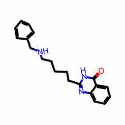 O=c1[nH]c(CCCCCNCc2ccccc2)nc2ccccc12